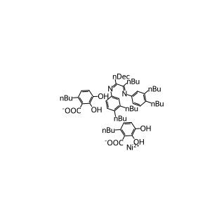 CCCCCCCCCCC(=Nc1ccc(CCCC)c(CCCC)c1)C(CCCC)=Nc1ccc(CCCC)c(CCCC)c1.CCCCc1ccc(O)c(O)c1C(=O)[O-].CCCCc1ccc(O)c(O)c1C(=O)[O-].[Ni+2]